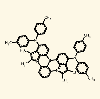 Cc1ccc(N(c2ccc(C)cc2)c2ccc3c4c2c(C)c(C)n4-c2cccc4c2B3c2ccc(N(c3ccc(C)cc3)c3ccc(C)cc3)c3c(C)c(C)n-4c23)cc1